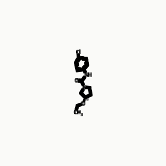 CCO[C@@H]1CCN(C(=O)Nc2ccc(Cl)cc2)C1